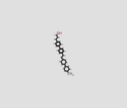 CC1CCC(C2CCC(CCc3ccc(-c4ccc(CCCO)cc4)cc3)CC2)CC1